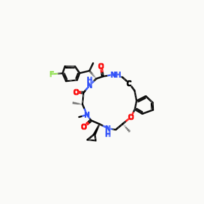 CC(c1ccc(F)cc1)[C@H]1NC(=O)[C@@H](C)N(C)C(=O)[C@H](C2CC2)NC[C@@H](C)Oc2ccccc2CCCNC1=O